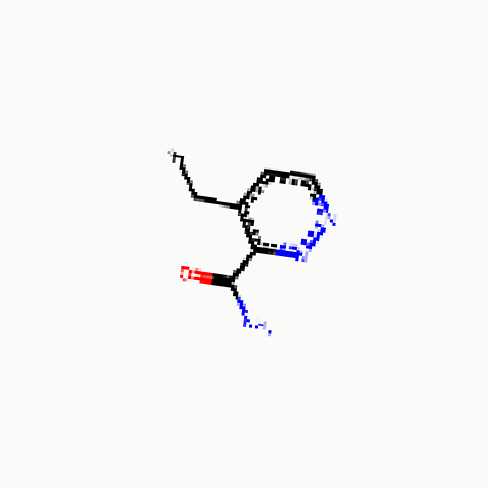 [2H]Cc1ccnnc1C(N)=O